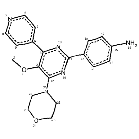 COc1c(-c2ccncc2)nc(-c2ccc(N)cc2)nc1N1CCOCC1